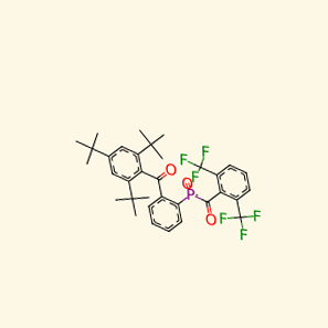 CC(C)(C)c1cc(C(C)(C)C)c(C(=O)c2ccccc2[P](=O)C(=O)c2c(C(F)(F)F)cccc2C(F)(F)F)c(C(C)(C)C)c1